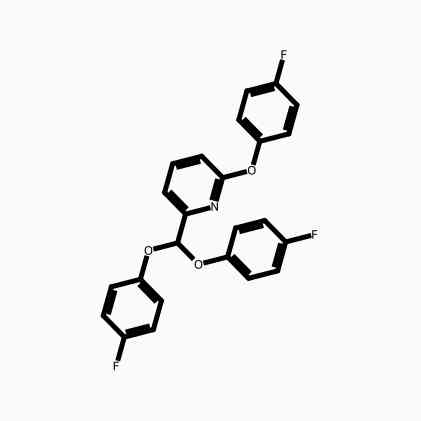 Fc1ccc(Oc2cccc(C(Oc3ccc(F)cc3)Oc3ccc(F)cc3)n2)cc1